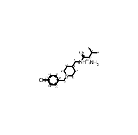 CC(C)[C@H](N)C(=O)NCC1CCN(Cc2ccc(Cl)cc2)CC1